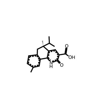 Cc1ccc2c(c1)-c1[nH]c(=O)c(C(=O)O)cc1[C@](C)(C(C)C)C2